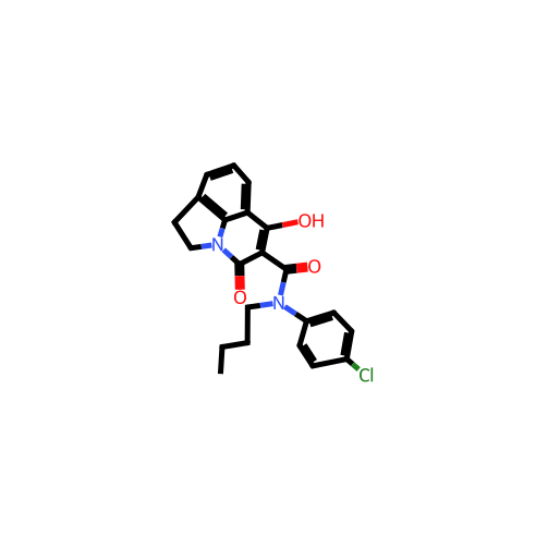 CCCCN(C(=O)c1c(O)c2cccc3c2n(c1=O)CC3)c1ccc(Cl)cc1